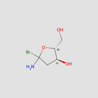 NC1(Br)C[C@H](O)[C@@H](CO)O1